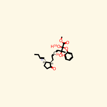 CC/C=C/[C@H]1CCC(=O)[C@@H]1CC=C=CC(C)([16OH])C([16OH])(Oc1ccccc1)C(=O)OC